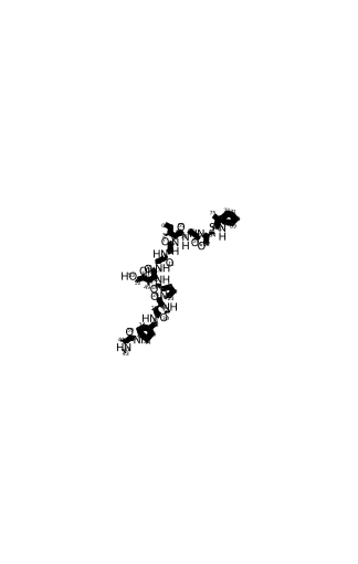 CC[C@H](C)[C@H](NC(=O)CNC(=O)CNC(=O)[C@@H](NC(=O)[C@@H]1CCCN1C(=O)[C@H](CC(=O)NCc1ccc(NC(=O)[C@H](C)NC)cc1)NC)[C@@H](C)[C@@H](O)CO)C(=O)NCC(=O)N[C@@H](C=O)CSc1[nH]c2ccccc2c1C